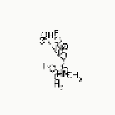 CCC(/C(=C/Cc1ccc2c(=O)n(-c3ccc(F)cc3)c(CCCCC(=O)O)nc2c1)ONC)c1ccc(F)cc1